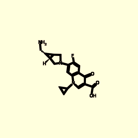 NC[C@@H]1C2CN(c3cc4c(cc3F)c(=O)c(C(=O)O)cn4C3CC3)C[C@H]21